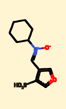 O=S(=O)(O)c1cocc1C=[N+]([O-])C1CCCCC1